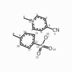 C[n+]1ccc(C#N)cc1.Cc1ccc(S(=O)(=O)[O-])cc1